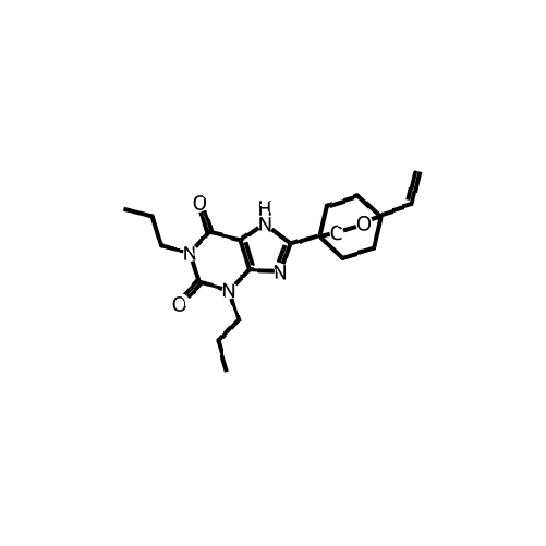 C=CC12CCC(c3nc4c([nH]3)c(=O)n(CCC)c(=O)n4CCC)(CC1)CO2